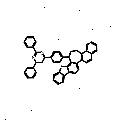 c1ccc(C2=NC(c3ccccc3)CC(c3ccc(C4CCc5c(ccc6ccccc56)-c5ccc6c(sc7ccccc76)c54)cc3)=N2)cc1